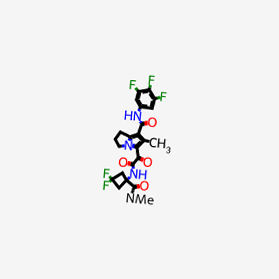 CNC(=O)C1(NC(=O)C(=O)c2c(C)c(C(=O)Nc3cc(F)c(F)c(F)c3)c3n2CCC3)CC(F)(F)C1